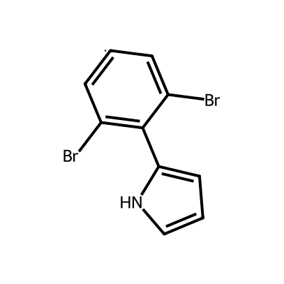 Brc1c[c]cc(Br)c1-c1ccc[nH]1